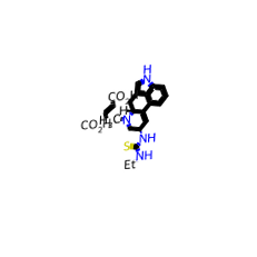 CCNC(=S)N[C@H]1C=C2c3cccc4[nH]cc(c34)C[C@H]2N(C)C1.O=C(O)C=CC(=O)O